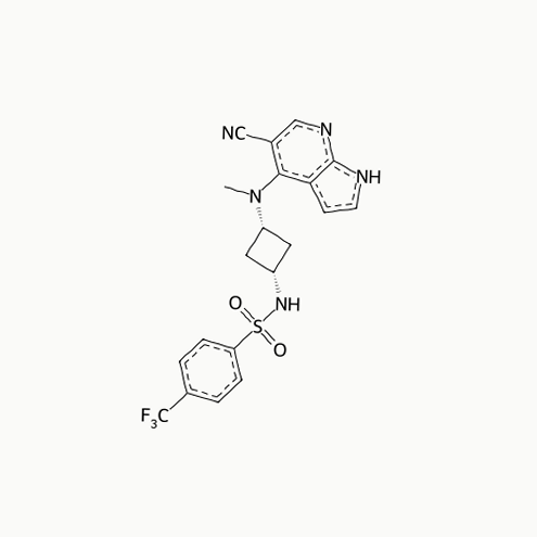 CN(c1c(C#N)cnc2[nH]ccc12)[C@H]1C[C@@H](NS(=O)(=O)c2ccc(C(F)(F)F)cc2)C1